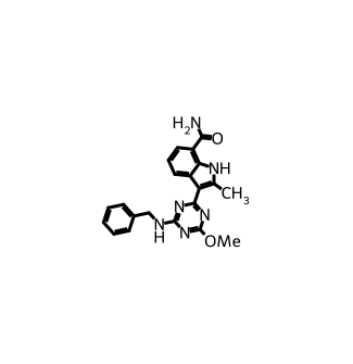 COc1nc(NCc2ccccc2)nc(-c2c(C)[nH]c3c(C(N)=O)cccc23)n1